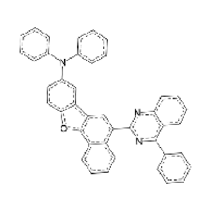 c1ccc(-c2nc(-c3cc4c5cc(N(c6ccccc6)c6ccccc6)ccc5oc4c4ccccc34)nc3ccccc23)cc1